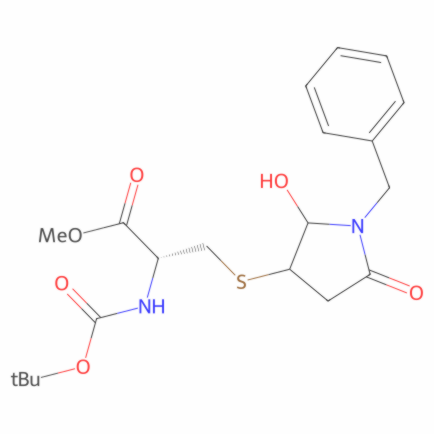 COC(=O)[C@H](CSC1CC(=O)N(Cc2ccccc2)C1O)NC(=O)OC(C)(C)C